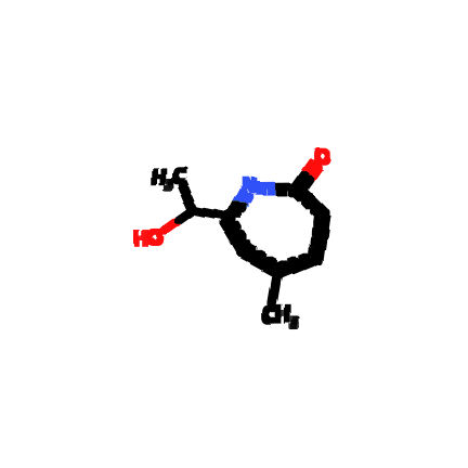 Cc1ccc(=O)nc(C(C)O)c1